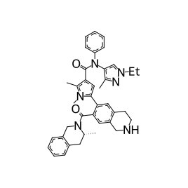 CCn1cc(N(C(=O)c2cc(-c3cc4c(cc3C(=O)N3Cc5ccccc5C[C@H]3C)CNCC4)n(C)c2C)c2ccccc2)c(C)n1